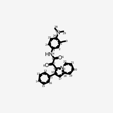 Cc1cc(NC(=O)C(=O)c2c(-c3ccccc3)cc3ccccn23)ccc1N(C)C